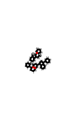 c1ccc(-c2ccccc2N(c2cccc(-c3ccc(-c4ccccc4)c4ccccc34)c2)c2ccc3oc4c5ccccc5ncc4c3c2)cc1